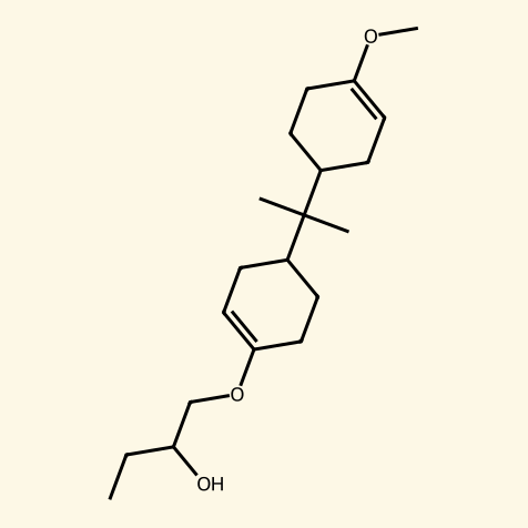 CCC(O)COC1=CCC(C(C)(C)C2CC=C(OC)CC2)CC1